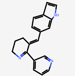 C(=C1CCCN=C1c1cccnc1)c1ccc2cc[nH]c2c1